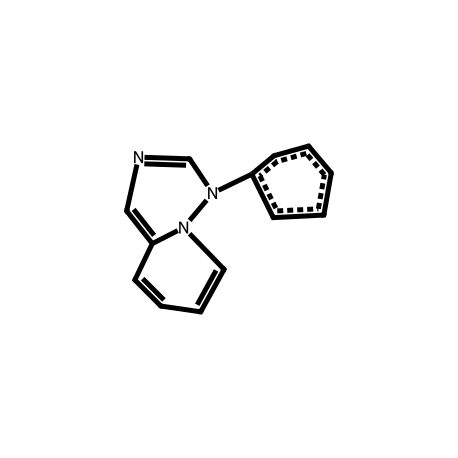 C1=CC2=CN=CN(c3ccccc3)N2C=C1